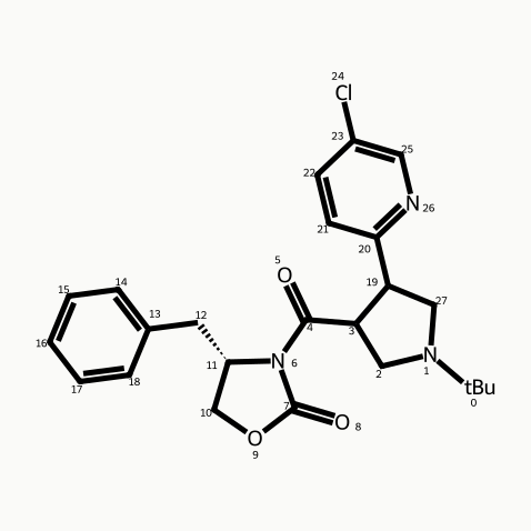 CC(C)(C)N1CC(C(=O)N2C(=O)OC[C@@H]2Cc2ccccc2)C(c2ccc(Cl)cn2)C1